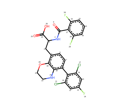 O=C(NC(Cc1ccc(-c2c(Cl)cc(F)cc2Cl)c2c1OCCN2)C(=O)O)c1c(F)cccc1F